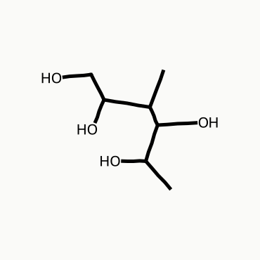 CC(O)C(O)C(C)C(O)CO